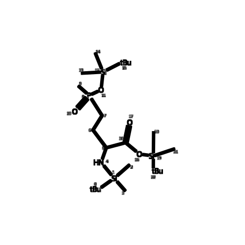 CC(C)(C)[Si](C)(C)NC(CCP(C)(=O)O[Si](C)(C)C(C)(C)C)C(=O)O[Si](C)(C)C(C)(C)C